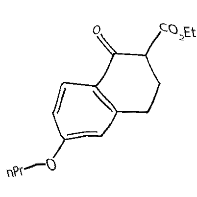 CCCOc1ccc2c(c1)CCC(C(=O)OCC)C2=O